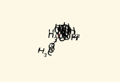 CCOCc1cc(C#Cc2ccc(C(=O)N(C)[C@@](C)(C(=O)NC)C(=O)NO)cc2)co1